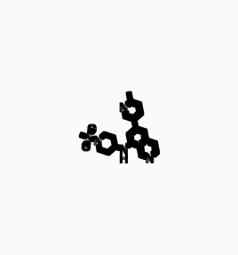 Cc1ccc(-c2cc(NC3CCN(S(C)(=O)=O)CC3)c3cnccc3c2)cn1